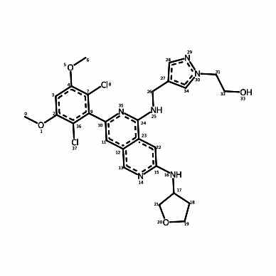 COc1cc(OC)c(Cl)c(-c2cc3cnc(NC4CCOC4)cc3c(NCc3cnn(CCO)c3)n2)c1Cl